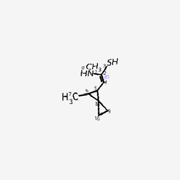 CN/C(S)=C\C1C(C)C12CC2